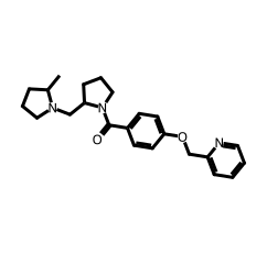 CC1CCCN1CC1CCCN1C(=O)c1ccc(OCc2ccccn2)cc1